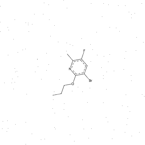 CCCOc1nc(C)c(F)cc1Br